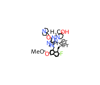 COCOc1cc(Cn2cnc3c(OCC45CCCN4CCC5)nc(N4CCC[C@](C)(O)C4)nc32)c2c(C#C[Si](C(C)C)(C(C)C)C(C)C)c(F)ccc2c1